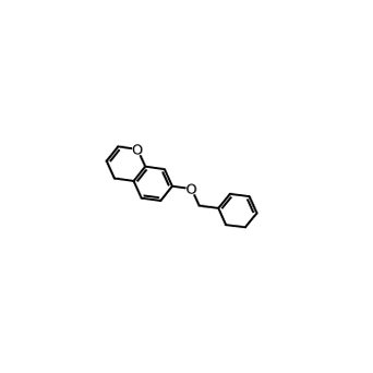 C1=CCCC(COc2ccc3c(c2)OC=CC3)=C1